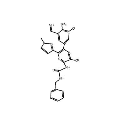 Cn1ccc(-c2nc(NC(=O)NCc3ccccc3)c(C#N)nc2-c2cc(Cl)c(N)c(C=N)c2)n1